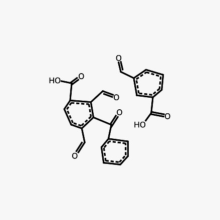 O=Cc1ccc(C(=O)O)c(C=O)c1C(=O)c1ccccc1.O=Cc1cccc(C(=O)O)c1